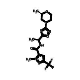 C[C@H](NC(=O)c1cc(C(F)(F)F)nn1C)c1nc(N2CCO[C@@H](C)C2)no1